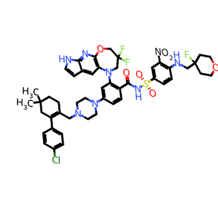 CC1(C)CCC(CN2CCN(c3ccc(C(=O)NS(=O)(=O)c4ccc(NCC5(F)CCOCC5)c([N+](=O)[O-])c4)c(N4CC(F)(F)COc5nc6[nH]ccc6cc54)c3)CC2)=C(c2ccc(Cl)cc2)C1